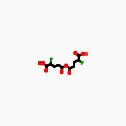 O=C(CCC(F)C(=O)O)OC(=O)CCC(F)C(=O)O